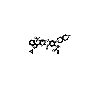 C=CC(=O)Nc1cc(Nc2ncc(P(C)(C)=O)c(-c3cn(C4CC4)c4ccccc34)n2)c(OC)cc1N1CCC2(CCN(C)CC2)CC1